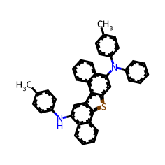 Cc1ccc(Nc2cc3c(sc4cc(N(c5ccccc5)c5ccc(C)cc5)c5ccccc5c43)c3ccccc23)cc1